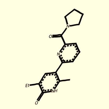 CCc1cc(-c2cccc(C(=O)N3CCCC3)n2)c(C)[nH]c1=O